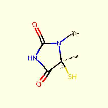 CC(C)N1C(=O)NC(=O)[C@]1(C)S